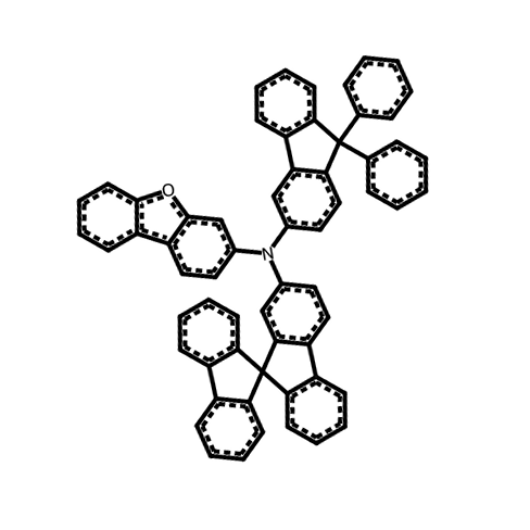 c1ccc(C2(c3ccccc3)c3ccccc3-c3cc(N(c4ccc5c(c4)C4(c6ccccc6-c6ccccc64)c4ccccc4-5)c4ccc5c(c4)oc4ccccc45)ccc32)cc1